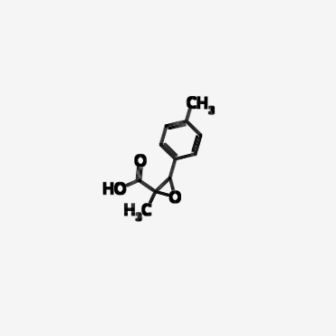 Cc1ccc(C2OC2(C)C(=O)O)cc1